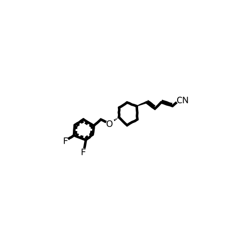 N#CC=CC=C[C@H]1CC[C@H](OCc2ccc(F)c(F)c2)CC1